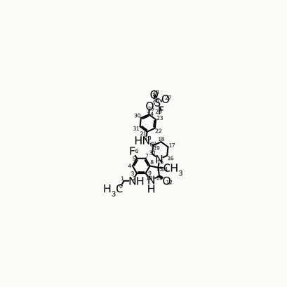 CCNc1cc(F)cc2c1NC(=O)C2(C)N1CCC[C@@H](Nc2ccc(OS(=O)(=O)F)cc2)C1